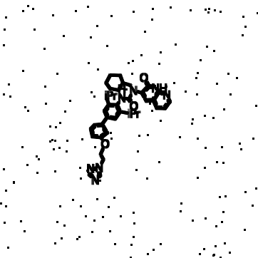 CC(C)c1cc(-c2cccc(OCCn3cncn3)c2)cc(C(C)C)c1NC(=O)N(CC1CCCCC1)c1cc2cccnc2[nH]c1=O